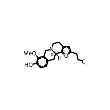 COc1c(O)ccc2c1CN1CCc3cc(CCCl)oc3[C@@H]1C2